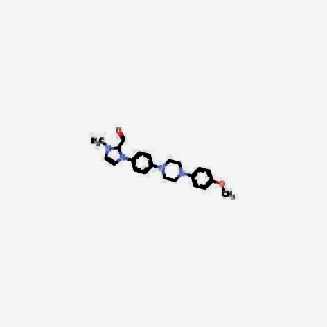 COc1ccc(N2CCN(c3ccc(N4C=CN(C)C4C=O)cc3)CC2)cc1